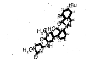 Cn1ccc(Nc2cc(-c3cccc(-n4ncc5cc(C(C)(C)C)cc(F)c5c4=O)c3CO)cn(C)c2=O)nc1=O